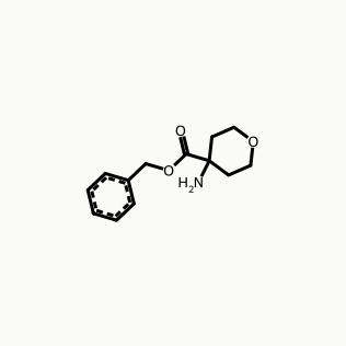 NC1(C(=O)OCc2ccccc2)CCOCC1